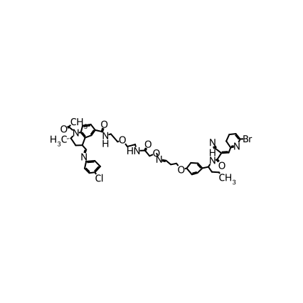 CCCC(NC(=O)/C(C#N)=C/C1=NC(Br)=CCC1)C1=CCC(OCC/C=N/OCC(=O)NCCOCCNC(=O)c2ccc3c(c2)C(C=Nc2ccc(Cl)cc2)C[C@H](C)N3C(C)=O)C=C1